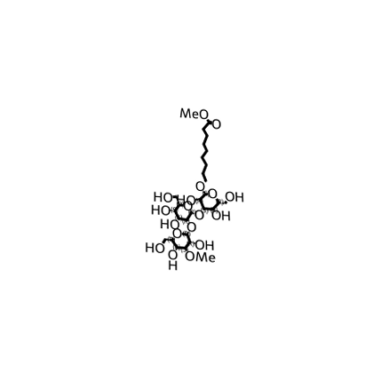 COC(=O)CCCCCCCCO[C@H]1O[C@H](CO)[C@@H](O)[C@H](O[C@H]2O[C@H](CO)[C@@H](O)[C@H](O)[C@H]2O[C@H]2O[C@H](CO)[C@@H](O)[C@H](OC)[C@H]2O)[C@H]1O